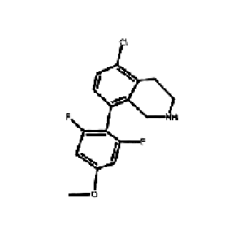 COc1cc(F)c(-c2ccc(Cl)c3c2CNCC3)c(F)c1